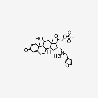 CC12C=CC(=O)C=C1CC[C@@H]1C2[C@@H](O)C[C@@]2(C)C1C[C@@H](CN(O)Cc1ccoc1)[C@@H]2C(=O)COS(C)(=O)=O